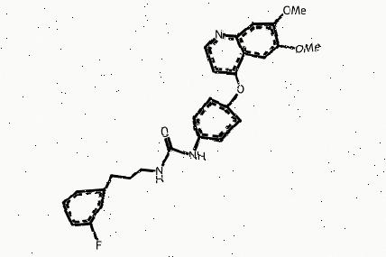 COc1cc2nccc(Oc3ccc(NC(=O)NCCCc4cccc(F)c4)cc3)c2cc1OC